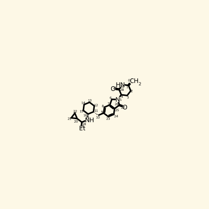 C=C1CCC(N2Cc3cc(C[C@H]4CCCC[C@@H]4NC(CC)C4CC4)ccc3C2=O)C(=O)N1